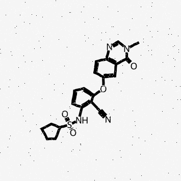 Cn1cnc2ccc(Oc3cccc(NS(=O)(=O)C4CCCC4)c3C#N)cc2c1=O